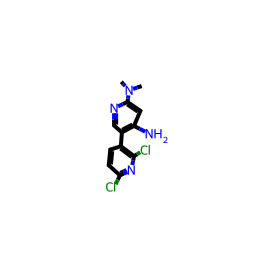 CN(C)c1cc(N)c(-c2ccc(Cl)nc2Cl)cn1